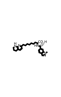 Cn1ncc2ccc(C(=O)N[C@@H](CCCCCCCc3ccc4c(n3)NCCC4)C(=O)O)cc21